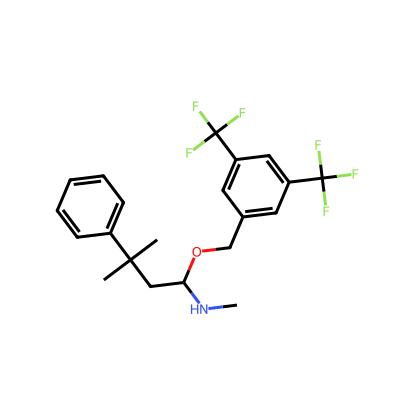 CNC(CC(C)(C)c1ccccc1)OCc1cc(C(F)(F)F)cc(C(F)(F)F)c1